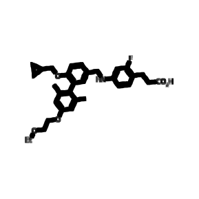 CCOCCOc1cc(C)c(-c2cc(CNc3ccc(CCC(=O)O)c(F)c3)ccc2OCC2CC2)c(C)c1